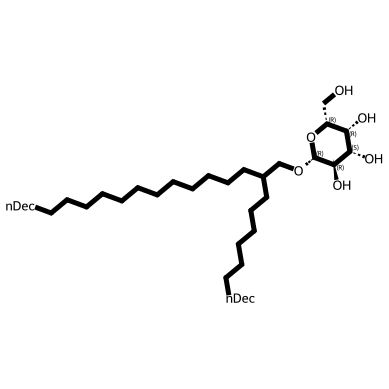 CCCCCCCCCCCCCCCCCCCCCCC(CCCCCCCCCCCCCCCC)CO[C@@H]1O[C@H](CO)[C@H](O)[C@H](O)[C@H]1O